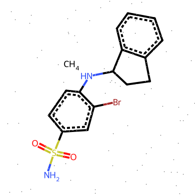 C.NS(=O)(=O)c1ccc(NC2CCc3ccccc32)c(Br)c1